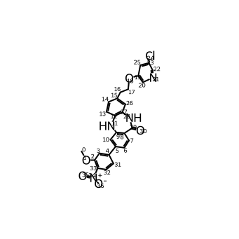 COc1cc(-c2ccc3c(c2)Nc2ccc(CCOc4cncc(Cl)c4)cc2NC3=O)ccc1[N+](=O)[O-]